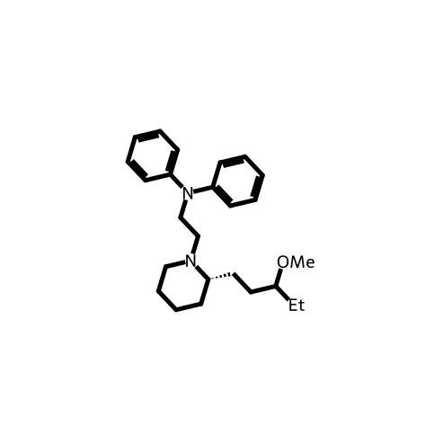 CCC(CC[C@@H]1CCCCN1CCN(c1ccccc1)c1ccccc1)OC